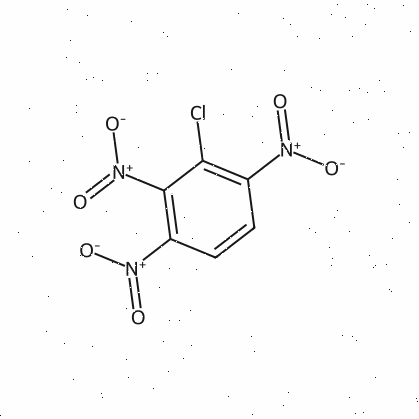 O=[N+]([O-])c1ccc([N+](=O)[O-])c([N+](=O)[O-])c1Cl